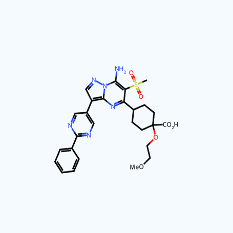 COCCOC1(C(=O)O)CCC(c2nc3c(-c4cnc(-c5ccccc5)nc4)cnn3c(N)c2S(C)(=O)=O)CC1